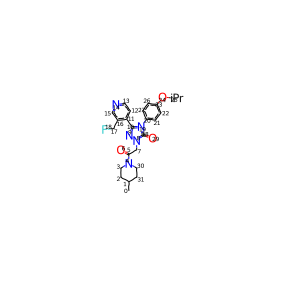 CC1CCN(C(=O)Cn2nc(-c3ccncc3CF)n(-c3ccc(OC(C)C)cc3)c2=O)CC1